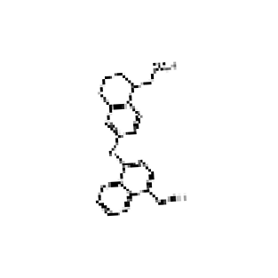 N=Cc1ccc(Oc2ccc3c(c2)CCCC3CC(=O)O)c2ccccc12